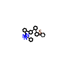 C1=Cc2sc3c(-c4ccccc4-c4ccc5c(c4)c4ccccc4c4nnc(-c6ccccc6)n54)cccc3c2CC1